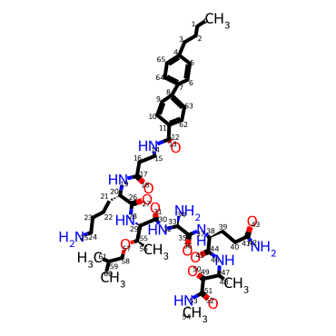 CCCCc1ccc(-c2ccc(C(=O)NCCC(=O)N[C@@H](CCCCN)C(=O)N[C@H](C(=O)N[C@@H](N)C(=O)N[C@@H](CCC(N)=O)C(=O)NC(C)C(=O)C(=O)NC)[C@@H](C)OCC(C)C)cc2)cc1